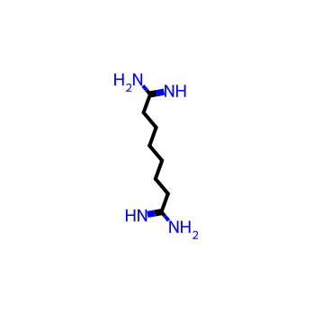 N=C(N)CCCCCCC(=N)N